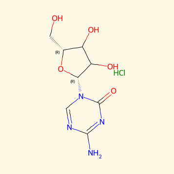 Cl.Nc1ncn([C@@H]2O[C@H](CO)C(O)C2O)c(=O)n1